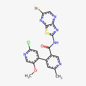 COc1cnc(Cl)cc1-c1cc(C)ncc1C(=O)Nc1nc2ncc(Br)nc2s1